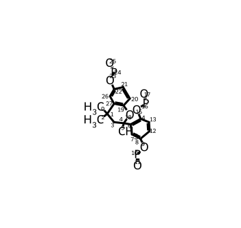 CC1(C)CC(C)(c2cc(OP=O)ccc2OP=O)Oc2ccc(OP=O)cc21